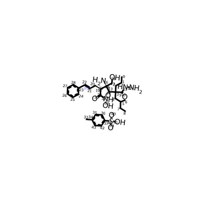 CCCC(CC(C)CC)(C(=O)NN)C(=O)[C@](N)(CO)[C@H](C/C=C/c1ccccc1)C(=O)NO.Cc1ccc(S(=O)(=O)O)cc1